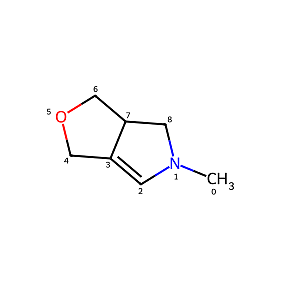 CN1C=C2COCC2C1